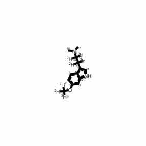 [2H]C([2H])([2H])Oc1ccc2c(C([2H])([2H])C([2H])([2H])N(C)C)c[nH]c2c1